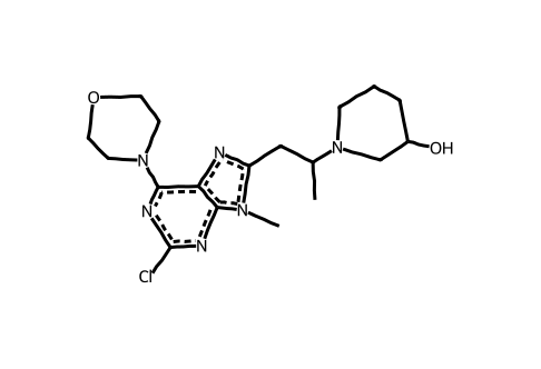 CC(Cc1nc2c(N3CCOCC3)nc(Cl)nc2n1C)N1CCCC(O)C1